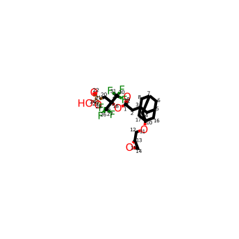 O=C(CC12CC3CC(C1)CC(OCC1CO1)(C3)C2)OC(CS(=O)(=O)O)(C(F)(F)F)C(F)(F)F